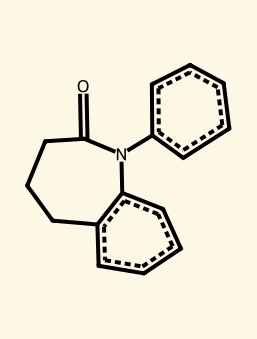 O=C1CCCc2ccccc2N1c1ccccc1